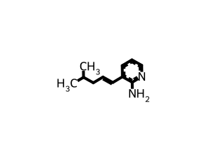 CC(C)C/C=C/c1cccnc1N